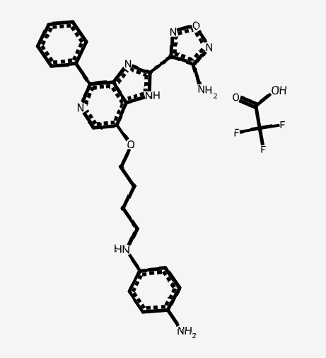 Nc1ccc(NCCCCOc2cnc(-c3ccccc3)c3nc(-c4nonc4N)[nH]c23)cc1.O=C(O)C(F)(F)F